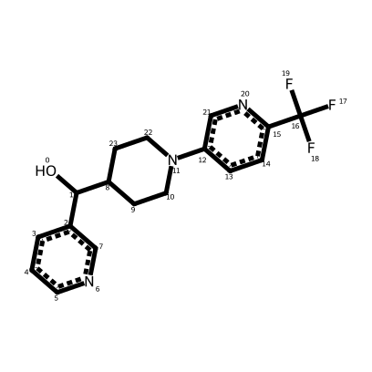 OC(c1cccnc1)C1CCN(c2ccc(C(F)(F)F)nc2)CC1